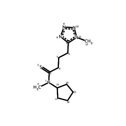 CN(C(=S)CCCc1nnnn1C)C1CCCC1